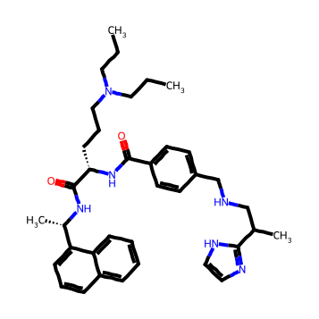 CCCN(CCC)CCC[C@H](NC(=O)c1ccc(CNCC(C)c2ncc[nH]2)cc1)C(=O)N[C@@H](C)c1cccc2ccccc12